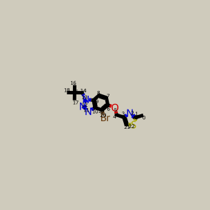 Cc1nc(COc2ccc3c(nnn3CC(C)(C)C)c2Br)cs1